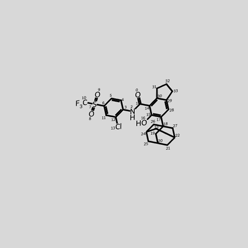 O=C(Nc1ccc(S(=O)(=O)C(F)(F)F)cc1Cl)c1c(O)c(C23CC4CC(CC(C4)C2)C3)cc2c1CCC2